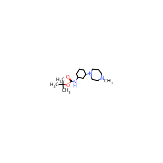 CN1CCCN([C@@H]2CCCC(NC(=O)OC(C)(C)C)C2)CC1